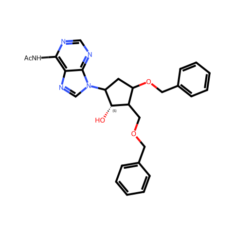 CC(=O)Nc1ncnc2c1ncn2C1CC(OCc2ccccc2)C(COCc2ccccc2)[C@@H]1O